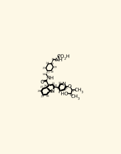 CC(O)C(C)Oc1ccc(-c2cc(C(=O)NC[C@H]3CC[C@H](CNC(=O)O)CC3)c3ccccc3n2)cn1